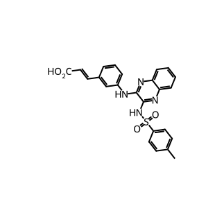 Cc1ccc(S(=O)(=O)Nc2nc3ccccc3nc2Nc2cccc(/C=C/C(=O)O)c2)cc1